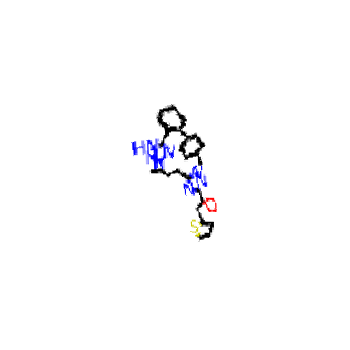 CCCCc1nc(C(=O)Cc2cccs2)nn1Cc1ccc(-c2ccccc2-c2nnn[nH]2)cc1